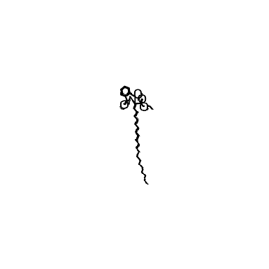 CCCCCCCCCC=CC=CC=CC=CC=CC=C(C(=O)OCC)N1C(=O)c2ccccc2C1=O